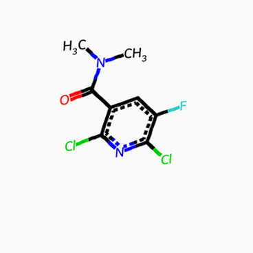 CN(C)C(=O)c1cc(F)c(Cl)nc1Cl